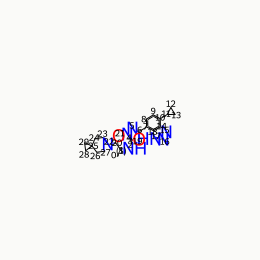 C[C@H](Nc1nnc(-c2ccc(C3CC3)c3nn[nH]c23)o1)C(=O)N1CCC2(CC1)CC2